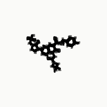 Cc1ccc(CNC(=O)c2cc3nc(N4CCN(CS(C)(=O)=O)C4=O)cnc3n(CC(=O)N3CC(C)(F)C3)c2=O)cc1